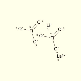 [La+3].[Li+].[O]=[Ti]([O-])[O-].[O]=[Ti]([O-])[O-]